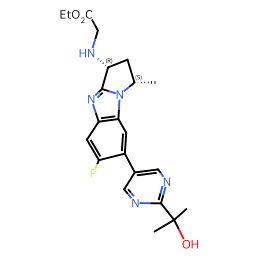 CCOC(=O)CN[C@@H]1C[C@H](C)n2c1nc1cc(F)c(-c3cnc(C(C)(C)O)nc3)cc12